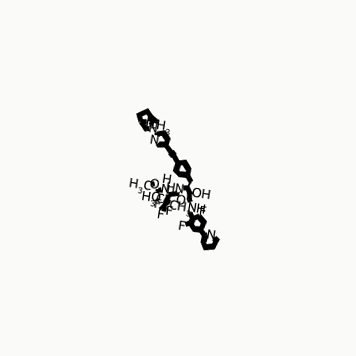 COC(=O)NC(C(=O)N[C@@H](Cc1ccc(C#Cc2ccc(N3CC4CCC(C3)N4C)nc2)cc1)[C@@H](O)CNCc1c(F)cc(-c2ccccn2)cc1F)C(C)(C)C(F)(F)F